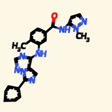 Cc1ccc(C(=O)Nc2ccnn2C)cc1Nc1ncnn2c(-c3ccccc3)ncc12